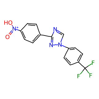 O=[N+](O)c1ccc(-c2ncn(-c3ccc(C(F)(F)F)cc3)n2)cc1